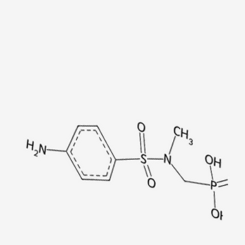 CN(CP(=O)(O)O)S(=O)(=O)c1ccc(N)cc1